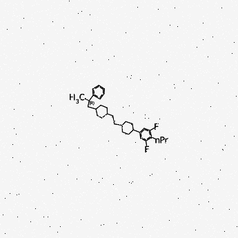 CCCc1c(F)cc(C2CCC(CCC3CCC(C[C@@H](C)c4ccccc4)CC3)CC2)cc1F